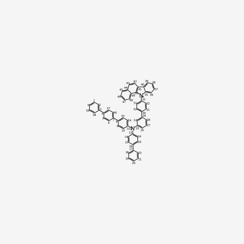 c1ccc(-c2ccc(-c3ccc(N(c4ccc(-c5ccccc5)cc4)c4cccc(-c5ccc(-n6c7ccccc7c7ccc8ccccc8c76)cc5)c4)cc3)cc2)cc1